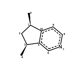 C[C@@H]1C[C@H](C)c2cnccc21